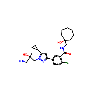 CC(O)(CN)Cn1nc(-c2ccc(Cl)c(C(=O)NCC3(O)CCCCCC3)c2)cc1C1CC1